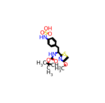 COc1csc(C(Cc2ccc(NS(=O)(=O)O)cc2)NC(=O)OC(C)(C)C)n1